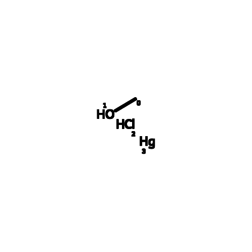 CO.Cl.[Hg]